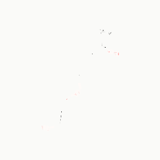 COC(=O)CCCOCCO